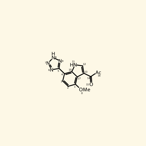 COc1ccc(-c2nn[nH]n2)c2[nH]cc(C(=O)C(C)=O)c12